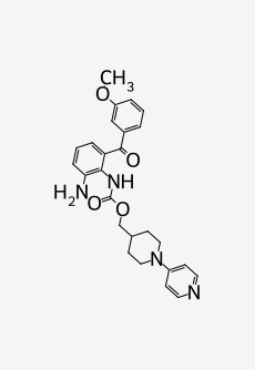 COc1cccc(C(=O)c2cccc(N)c2NC(=O)OCC2CCN(c3ccncc3)CC2)c1